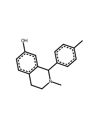 Cc1ccc(C2c3cc(O)ccc3CCN2C)cc1